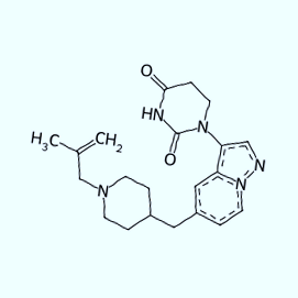 C=C(C)CN1CCC(Cc2ccn3ncc(N4CCC(=O)NC4=O)c3c2)CC1